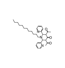 CCCCCCCCCCCCN1C(c2ccccn2)C(C(C)=O)C(=O)C(C(C)=O)C1c1ccccn1